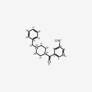 O=C(c1cncc([124I])c1)N1CCN(Cc2ccccc2)CC1